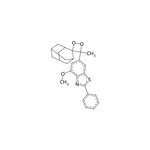 COc1cc(C2(C)OOC23C2CC4CC(C2)CC3C4)cc2sc(-c3ccccc3)nc12